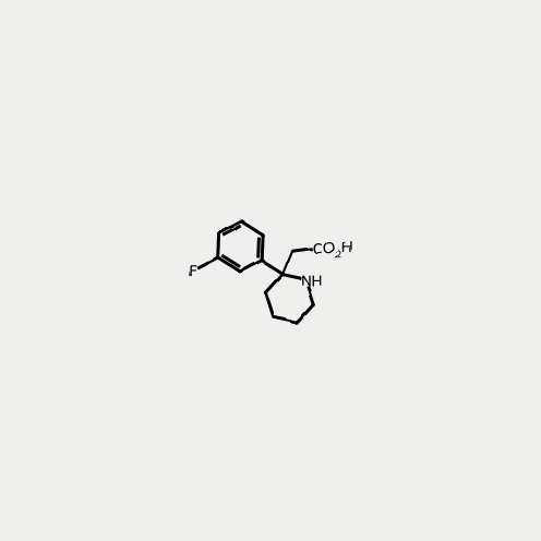 O=C(O)CC1(c2cccc(F)c2)CCCCN1